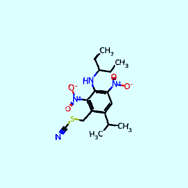 CCC(CC)Nc1c([N+](=O)[O-])cc(C(C)C)c(CSC#N)c1[N+](=O)[O-]